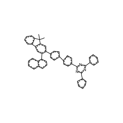 CC1(C)c2ccccc2-c2cc(-c3cccc4ccccc34)c(-c3ccc(-c4ccc(-c5nc(-c6ccccc6)nc(-c6ccccc6)n5)cc4)cc3)cc21